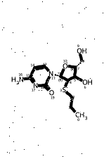 CCCSC1C(O)[C@@H](CO)O[C@H]1n1ccc(N)nc1=O